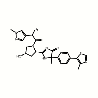 Cc1ncsc1-c1ccc(C2(C)NC([C@H]3C[C@@H](O)CN3C(=O)C(c3cnn(C)c3)C(C)C)=NC2=O)cc1